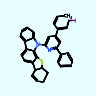 C/C=C\C(=C/CI)c1cc(-c2ccccc2)nc(-n2c3ccccc3c3ccc4c(c32)SC2CCC=CC42)c1